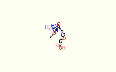 CCCCOc1nc(N)c2[nH]c(=O)n(CCCN3CCC(Oc4cccc(CC(=O)O)c4)CC3)c2n1